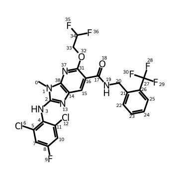 Cn1c(Nc2c(Cl)cc(F)cc2Cl)nc2cc(C(=O)NCc3ccccc3C(F)(F)F)c(OCC(F)F)nc21